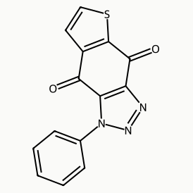 O=C1c2nnn(-c3ccccc3)c2C(=O)c2ccsc21